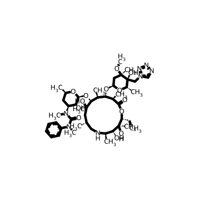 CC[C@H]1OC(=O)[C@H](C)[C@@H](O[C@H]2C[C@@](C)(OC)[C@](O)(Cn3cnnn3)[C@H](C)O2)[C@H](C)[C@@H](O[C@@H]2O[C@H](C)C[C@H](N(C)C(=O)N(C)c3ccccc3)[C@H]2O)[C@](C)(O)C[C@@H](C)CN[C@H](C)[C@@H](O)[C@]1(C)O